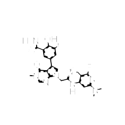 CN(C)c1cc(NC(=O)Cn2cc(-c3cc(Cl)c(O)c(C(N)=O)c3)c3c(=O)n(C)cnc32)c(Cl)c(F)n1